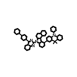 CC1(C)c2ccccc2N(c2ccccc2)c2ccc(-c3cccc4c3c3c5ccccc5ccc3n4-c3nc(-c4ccc(-c5ccccc5)cc4)c4ccccc4n3)cc21